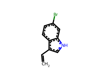 C=Cc1c[nH]c2cc(Br)ccc12